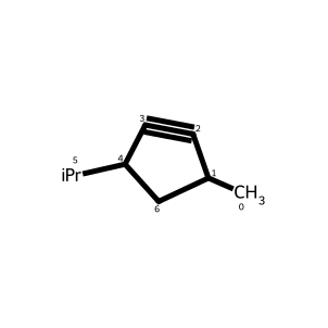 CC1C#CC(C(C)C)C1